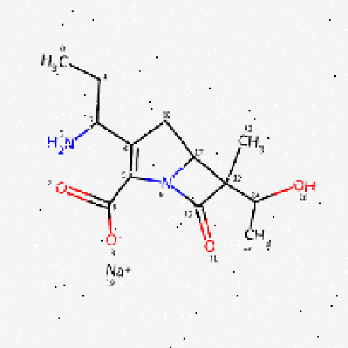 CCC(N)C1=C(C(=O)[O-])N2C(=O)C(C)(C(C)O)C2C1.[Na+]